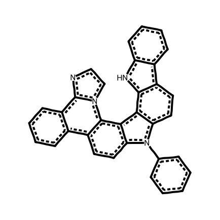 c1ccc(-n2c3ccc4c5ccccc5[nH]c4c3c3c2ccc2c4ccccc4c4nccn4c23)cc1